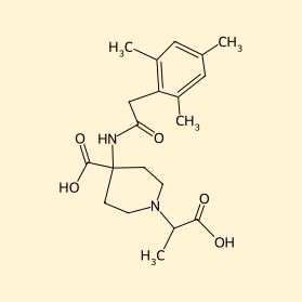 Cc1cc(C)c(CC(=O)NC2(C(=O)O)CCN(C(C)C(=O)O)CC2)c(C)c1